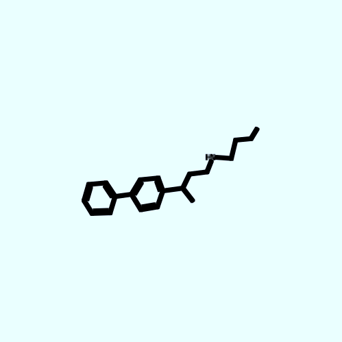 CCCCNCCC(C)c1ccc(-c2ccccc2)cc1